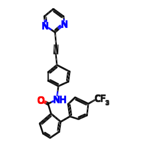 O=C(Nc1ccc(C#Cc2ncccn2)cc1)c1ccccc1-c1ccc(C(F)(F)F)cc1